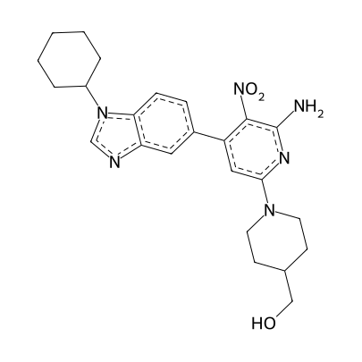 Nc1nc(N2CCC(CO)CC2)cc(-c2ccc3c(c2)ncn3C2CCCCC2)c1[N+](=O)[O-]